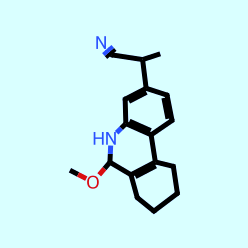 COC1Nc2cc(C(C)C#N)ccc2C2=C1CCCC2